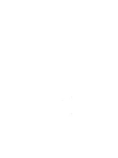 C=CCC(C(=O)OC1(C)CC2CCC1C2)C(F)(F)C(F)=C(F)F